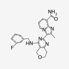 Cc1nc2c(C(N)=O)cccn2c1-c1nc2c(c(NCc3cccc(F)c3)n1)COCC2